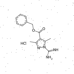 Cc1nn(C(=N)N)c(C)c1C(=O)OCc1ccccc1.Cl